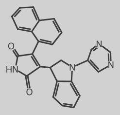 O=C1NC(=O)C(C2CN(c3cncnc3)c3ccccc32)=C1c1cccc2ccccc12